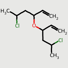 C=CC(CC(C)Cl)OC(C=C)CC(C)Cl